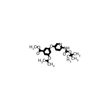 COC(=O)c1cc(Oc2ccc(NC(=O)OC(C)(C)C)nc2)cc(OC(C)C)c1